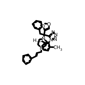 Cc1cccc(C)c1-n1nnnc1C(Cc1ccccc1)(C1=COCO1)N1CCN(CC=Cc2ccccc2)CC1